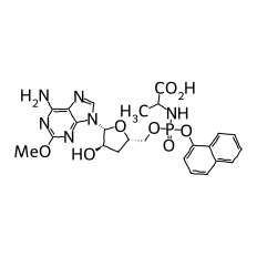 COc1nc(N)c2ncn([C@@H]3O[C@H](COP(=O)(NC(C)C(=O)O)Oc4cccc5ccccc45)C[C@H]3O)c2n1